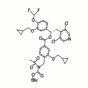 CC(C)(C)OC(=O)N(Cc1ccc(C(=O)O[C@@H](Cc2c(Cl)cncc2Cl)c2ccc(OC(F)F)c(OCC3CC3)c2)cc1OCC1CC1)S(C)(=O)=O